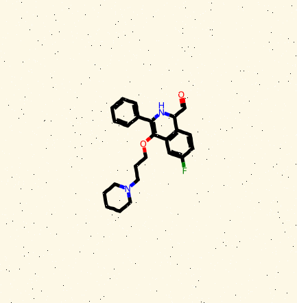 O=CC1NC(c2ccccc2)=C(OCCCN2CCCCC2)c2cc(F)ccc21